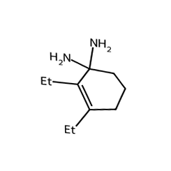 CCC1=C(CC)C(N)(N)CCC1